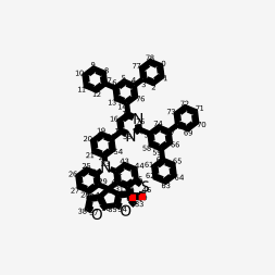 c1ccc(-c2cc(-c3ccccc3)cc(-c3cc(-c4cccc(N5c6ccccc6C6(c7ccoc7-c7occc76)c6c5ccc5sc7ccccc7c65)c4)nc(-c4cc(-c5ccccc5)cc(-c5ccccc5)c4)n3)c2)cc1